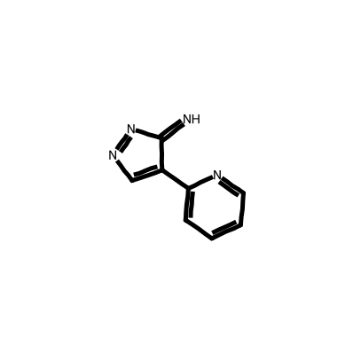 N=C1N=NC=C1c1ccccn1